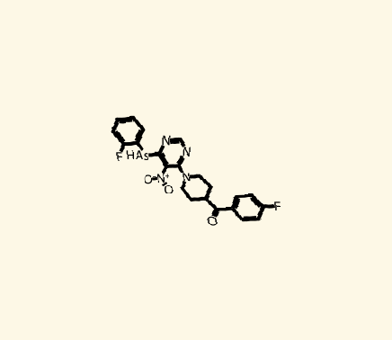 O=C(c1ccc(F)cc1)C1CCN(c2ncnc([AsH]c3ccccc3F)c2[N+](=O)[O-])CC1